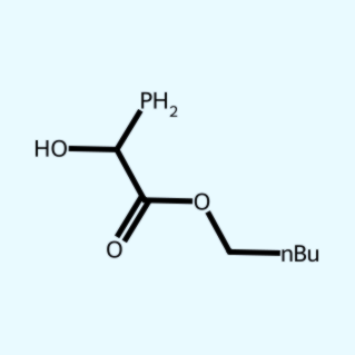 CCCCCOC(=O)C(O)P